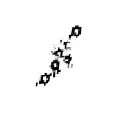 C[C@@H]1C(=O)N(c2ccc3c(cnn3-c3ccc(F)cc3)c2)[C@H](c2ccc(Cl)s2)[C@H]1NC(=O)OCc1ccccc1